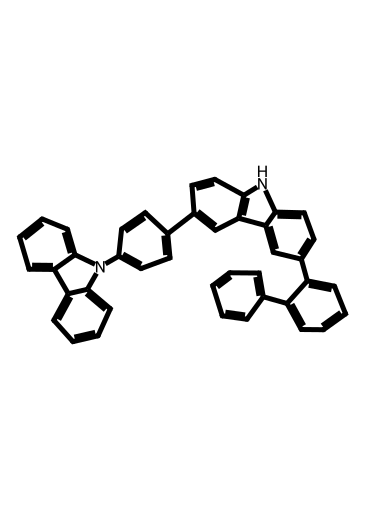 c1ccc(-c2ccccc2-c2ccc3[nH]c4ccc(-c5ccc(-n6c7ccccc7c7ccccc76)cc5)cc4c3c2)cc1